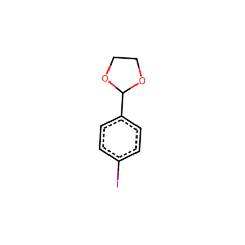 Ic1ccc(C2OCCO2)cc1